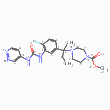 CCC(C)(c1ccc(F)c(NC(=O)Nc2ccnnc2)c1)N1CCN(C(=O)OC)CC1